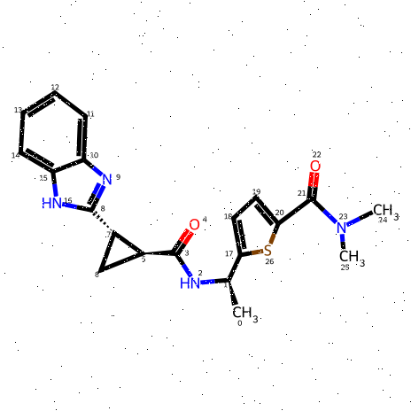 C[C@@H](NC(=O)[C@H]1C[C@@H]1c1nc2ccccc2[nH]1)c1ccc(C(=O)N(C)C)s1